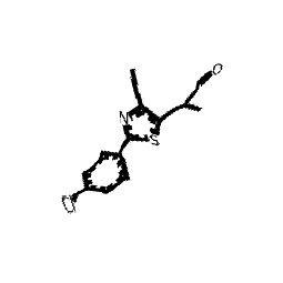 Cc1nc(-c2ccc(Cl)cc2)sc1C(C)C=O